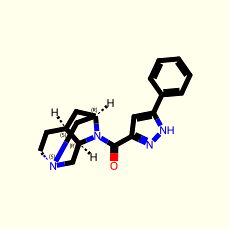 O=C(c1cc(-c2ccccc2)[nH]n1)N1[C@@H]2C[C@@H]3CC[N@](C2)C[C@@H]31